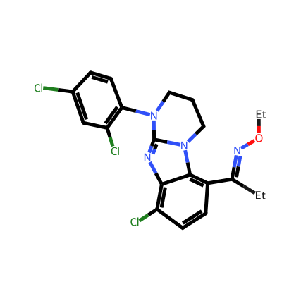 CCON=C(CC)c1ccc(Cl)c2nc3n(c12)CCCN3c1ccc(Cl)cc1Cl